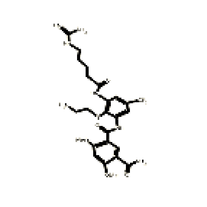 COc1cc(OC)c(C(=O)Nc2cc(C(F)(F)F)cc(NC(=O)CCCCNC(=N)N)c2SCCN)cc1C(N)=O